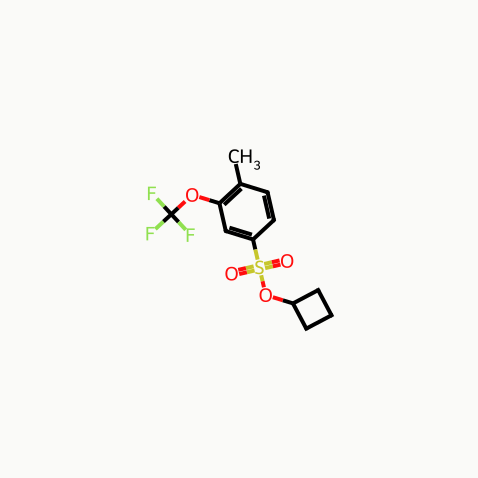 Cc1ccc(S(=O)(=O)OC2CCC2)cc1OC(F)(F)F